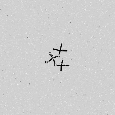 CC(C)(C)OP(=O)(Br)OC(C)(C)C